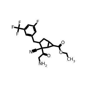 CCOC(=O)C1C2CC(Cc3cc(F)cc(C(F)(F)F)c3)C(C#N)(C(=O)CN)C21